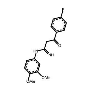 COc1ccc(NC(=N)CC(=O)c2ccc(F)cc2)cc1OC